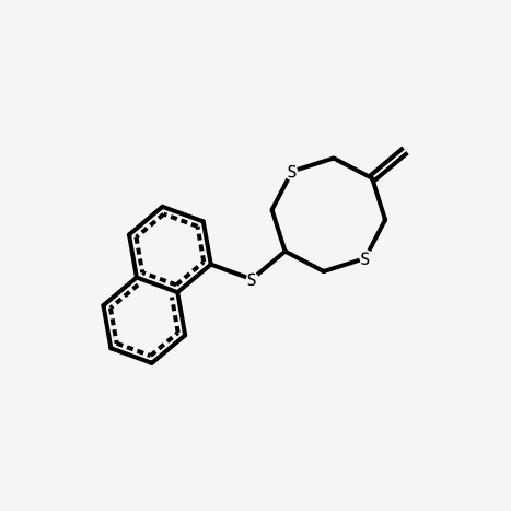 C=C1CSCC(Sc2cccc3ccccc23)CSC1